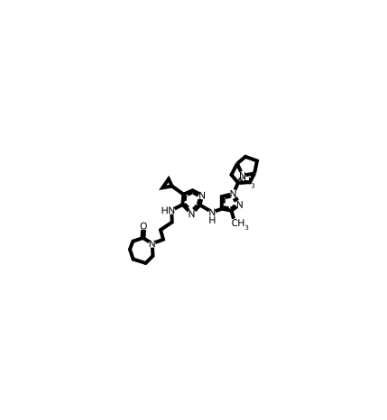 Cc1nn(C2CC3CCC(C2)N3C)cc1Nc1ncc(C2CC2)c(NCCCN2CCCCCC2=O)n1